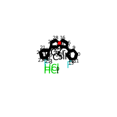 Cl.Cl.[CH3][Zr]([CH3])(=[SiH2])([C]1=C(c2cccc(F)c2)C=CC1)[C]1=C(c2cccc(F)c2)C=CC1